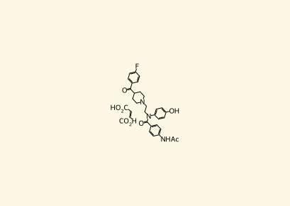 CC(=O)Nc1ccc(C(=O)N(CCN2CCC(C(=O)c3ccc(F)cc3)CC2)c2ccc(O)cc2)cc1.O=C(O)/C=C/C(=O)O